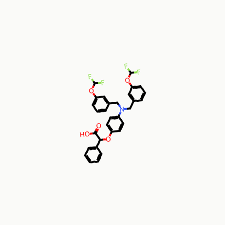 O=C(O)C(Oc1ccc(N(Cc2cccc(OC(F)F)c2)Cc2cccc(OC(F)F)c2)cc1)c1ccccc1